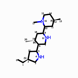 CC[C@@H]1CNC(C2CNC(C3C[C@H](C)CCN3C)C[C@H]2C)C1